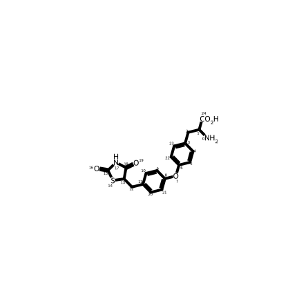 NC(Cc1ccc(Oc2ccc(CC3SC(=O)NC3=O)cc2)cc1)C(=O)O